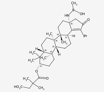 CB(O)N[C@@]12CC[C@]3(C)[C@H](CC[C@@H]4[C@@]5(C)CC[C@H](OC(=O)C(C)(C)CC(=O)O)C(C)(C)[C@@H]5CC[C@]43C)C1=C(C(C)C)C(=O)C2